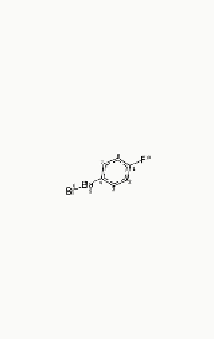 Fc1cc[c]([Ba][Br])cc1